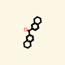 O=C(c1ccc2c(c1)CCCC2)c1ccc2c(c1)CCCC2